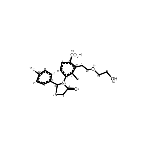 Cc1c(N2C(=O)CSC2c2ccc(F)cc2)ccc(C(=O)O)c1CCOCCO